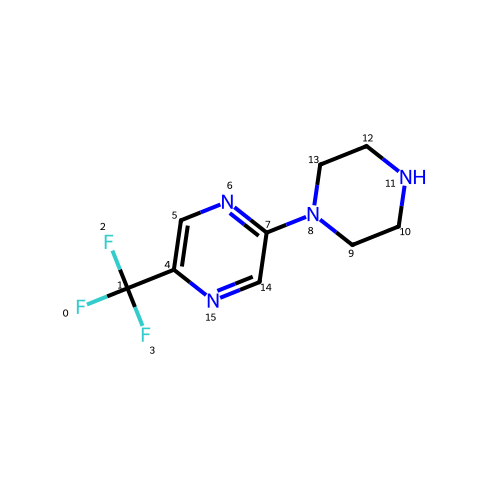 FC(F)(F)c1cnc(N2CCNCC2)cn1